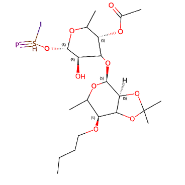 CCCCO[C@H]1C(C)O[C@@H](OC2[C@@H](OC(C)=O)C(C)O[C@@H](O[SH](#P)I)[C@@H]2O)[C@H]2OC(C)(C)OC12